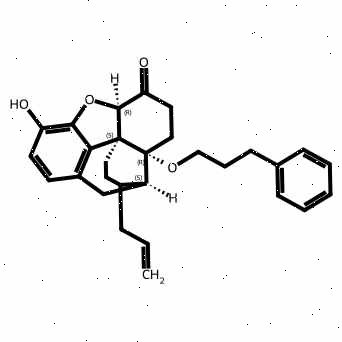 C=CCC1CC[C@]23c4c5ccc(O)c4O[C@H]2C(=O)CC[C@@]3(OCCCc2ccccc2)[C@H]1C5